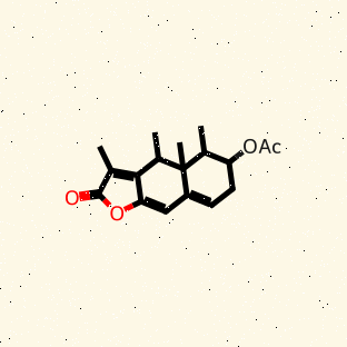 CC(=O)OC1CC=C2C=C3OC(=O)C(C)=C3C(C)C2(C)C1C